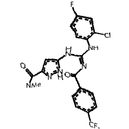 CNC(=O)c1cc(N/C(=N\C(=O)c2ccc(C(F)(F)F)cc2)Nc2ccc(F)cc2Cl)[nH]n1